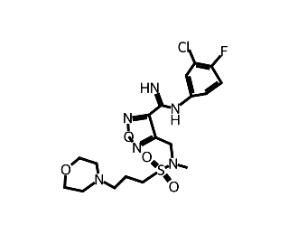 CN(Cc1nonc1C(=N)Nc1ccc(F)c(Cl)c1)S(=O)(=O)CCCN1CCOCC1